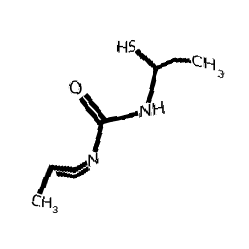 CC=NC(=O)NC(C)S